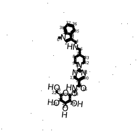 Cn1cc(CNCC2CCN(c3ncc(C(=O)NO[C@@H]4O[C@H](CO)[C@H](O)[C@H](O)[C@H]4O)cn3)CC2)c2ccccc21